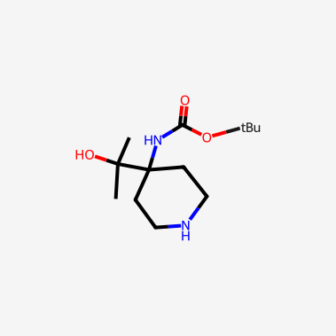 CC(C)(C)OC(=O)NC1(C(C)(C)O)CCNCC1